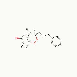 C[C@H]1C(=O)C[C@@H]2C[C@H]1OO[C@]2(C)CCCc1ccccc1